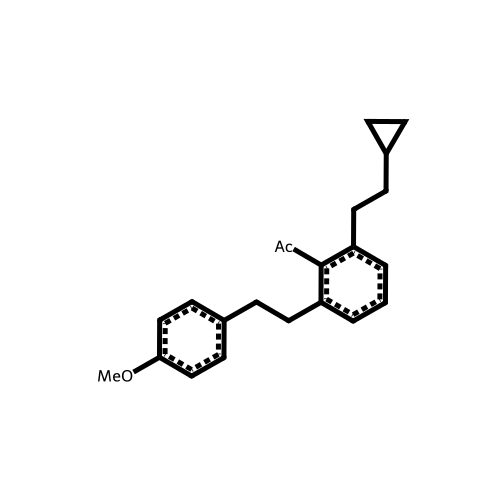 COc1ccc(CCc2cccc(CCC3CC3)c2C(C)=O)cc1